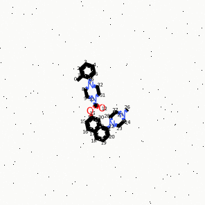 Cc1ccccc1N1CCN(C(=O)Oc2ccc3cccc(N4CCN(C)CC4)c3c2)CC1